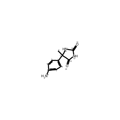 CC1(c2ccc(N)cc2)NC(=O)NC1=O